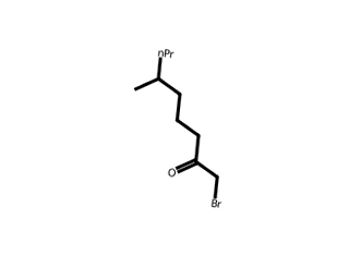 CCCC(C)CCCC(=O)CBr